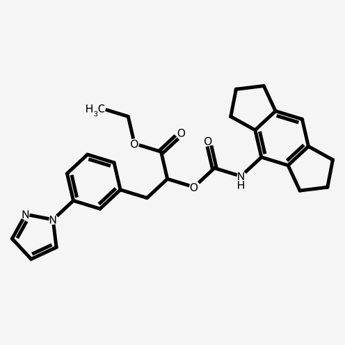 CCOC(=O)C(Cc1cccc(-n2cccn2)c1)OC(=O)Nc1c2c(cc3c1CCC3)CCC2